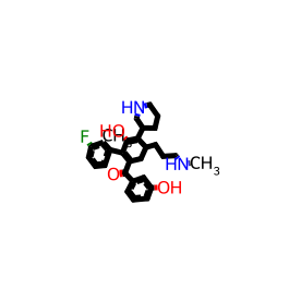 CNCCC[C]1CC(C(=O)c2cccc(O)c2)=C(c2cccc(F)c2C)C(O)=C1C1CCCNC1